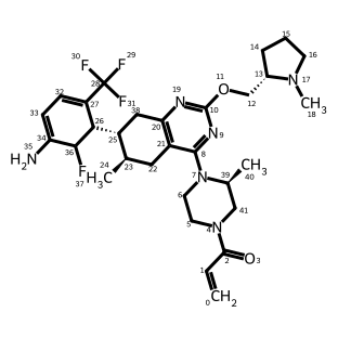 C=CC(=O)N1CCN(c2nc(OC[C@@H]3CCCN3C)nc3c2C[C@@H](C)[C@H](C2C(C(F)(F)F)=CC=C(N)C2F)C3)[C@@H](C)C1